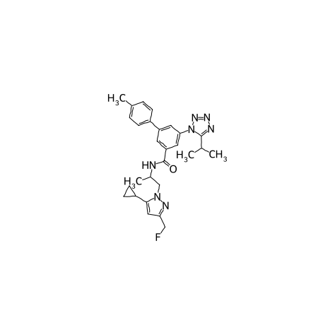 Cc1ccc(-c2cc(C(=O)NC(C)Cn3nc(CF)cc3C3CC3)cc(-n3nnnc3C(C)C)c2)cc1